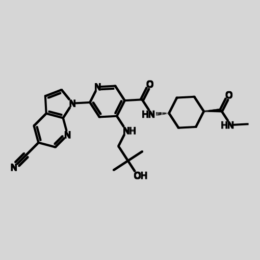 CNC(=O)[C@H]1CC[C@H](NC(=O)c2cnc(-n3ccc4cc(C#N)cnc43)cc2NCC(C)(C)O)CC1